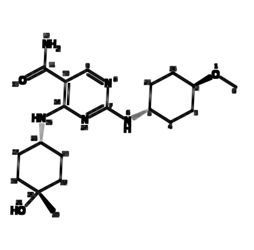 CO[C@H]1CC[C@H](Nc2ncc(C(N)=O)c(N[C@H]3CC[C@@](C)(O)CC3)n2)CC1